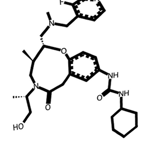 C[C@@H]1CN([C@@H](C)CO)C(=O)Cc2cc(NC(=O)NC3CCCCC3)ccc2O[C@H]1CN(C)Cc1ccncc1F